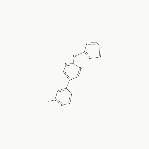 Cc1cc(-c2cnc(Oc3ccccc3)nc2)ccn1